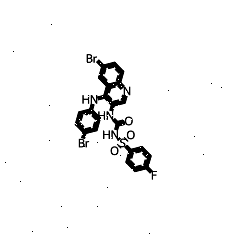 O=C(Nc1cnc2ccc(Br)cc2c1Nc1ccc(Br)cc1)NS(=O)(=O)c1ccc(F)cc1